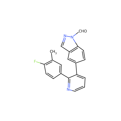 Cc1cc(-c2ncccc2-c2ccc3c(cnn3C=O)c2)ccc1F